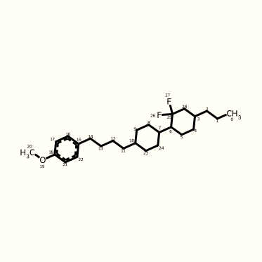 CCCC1CCC(C2CCC(CCCCc3ccc(OC)cc3)CC2)C(F)(F)C1